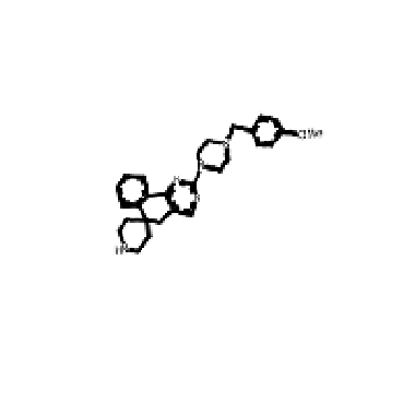 COc1ccc(CN2CCN(c3ncc4c(n3)-c3ccccc3C3(CCNCC3)C4)CC2)cc1